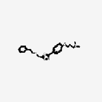 CN(C)CCCOc1ccc(-c2nnc(CSCCc3ccccc3)o2)cc1